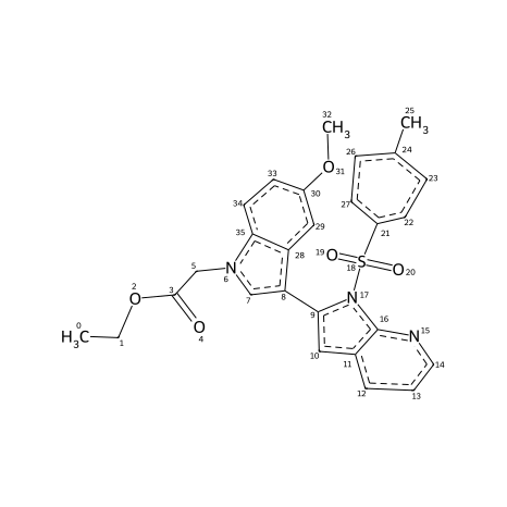 CCOC(=O)Cn1cc(-c2cc3cccnc3n2S(=O)(=O)c2ccc(C)cc2)c2cc(OC)ccc21